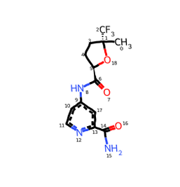 C[C@]1(C(F)(F)F)CC[C@H](C(=O)Nc2ccnc(C(N)=O)c2)O1